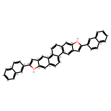 c1ccc2cc(-c3cc4cc5c(ccc6c7cc8cc(-c9ccc%10ccccc%10c9)oc8cc7ccc56)cc4o3)ccc2c1